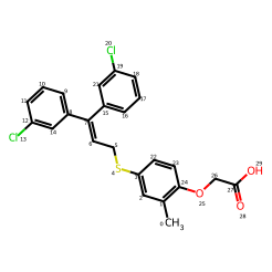 Cc1cc(SCC=C(c2cccc(Cl)c2)c2cccc(Cl)c2)ccc1OCC(=O)O